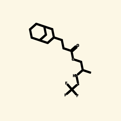 CC(COC(=O)CCC1CC2CCCC(C2)C1)NSC(F)(F)F